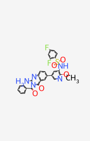 COc1ncc(-c2ccc3nc(N)n(C(=O)c4ccccc4)c(=O)c3c2)cc1NS(=O)(=O)c1ccc(F)cc1F